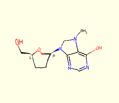 BN1CN([C@H]2CC[C@@H](CO)O2)c2ncnc(O)c21